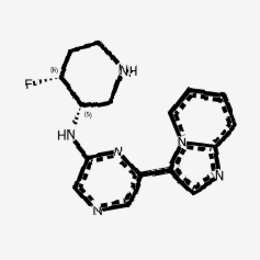 F[C@@H]1CCNC[C@@H]1Nc1cncc(-c2cnc3ccccn23)n1